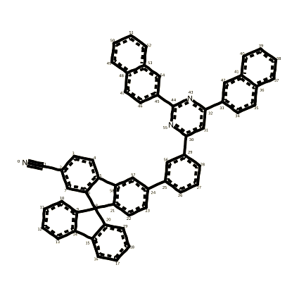 N#Cc1ccc2c(c1)C1(c3ccccc3-c3ccccc31)c1ccc(-c3cccc(-c4cc(-c5ccc6ccccc6c5)nc(-c5ccc6ccccc6c5)n4)c3)cc1-2